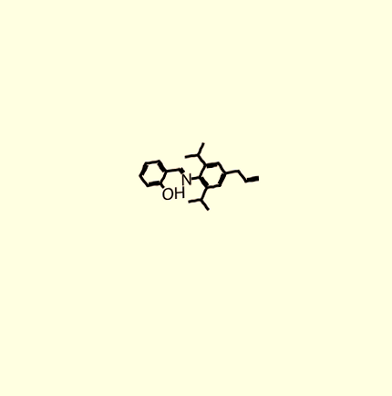 C=CCc1cc(C(C)C)c(N=Cc2ccccc2O)c(C(C)C)c1